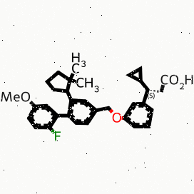 COc1ccc(F)c(-c2ccc(COc3cccc([C@@H](CC(=O)O)C4CC4)c3)cc2C2CCCC2(C)C)c1